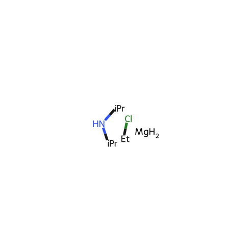 CC(C)NC(C)C.CCCl.[MgH2]